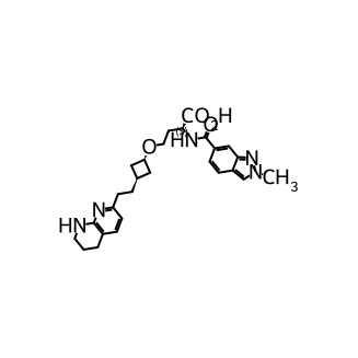 Cn1cc2ccc(C(=O)N[C@@H](CCO[C@H]3C[C@H](CCc4ccc5c(n4)NCCC5)C3)C(=O)O)cc2n1